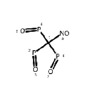 O=NC(P=O)(P=O)P=O